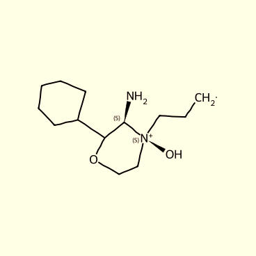 [CH2]CC[N@+]1(O)CCOC(C2CCCCC2)[C@H]1N